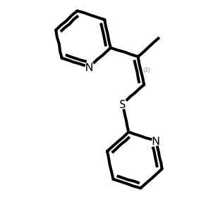 C/C(=C/Sc1ccccn1)c1ccccn1